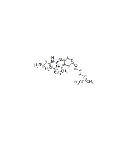 CCN(/C(=N\c1ccc(OCCCCC(C)C)cc1)NCCCN)C(C)C